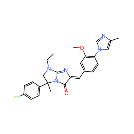 CCN1CC(C)(c2ccc(F)cc2)N2C(=O)/C(=C/c3ccc(-n4cnc(C)c4)c(OC)c3)N=C12